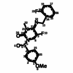 COc1ccc([S+]([O-])n2cc(F)/c(=N\Cc3ccccc3F)n(C)c2=O)cc1